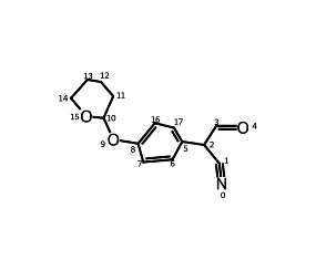 N#CC(C=O)c1ccc(OC2CCCCO2)cc1